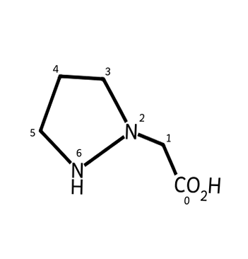 O=C(O)CN1CCCN1